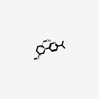 CO[C@H]1CC[C@H](CO)N(c2ccc(C(C)C)nc2)C1